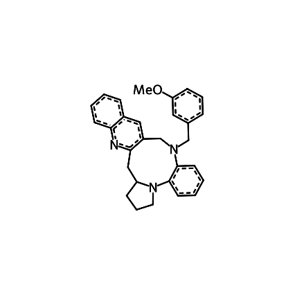 COc1cccc(CN2Cc3cc4ccccc4nc3CC3CCCN3c3ccccc32)c1